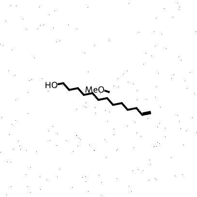 C=CCCCCCCCCCCCO.COC